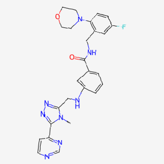 Cn1c(CNc2cccc(C(=O)NCc3cc(F)ccc3N3CCOCC3)c2)nnc1-c1ccncn1